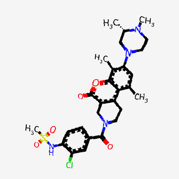 Cc1c(N2CCN(C)[C@@H](C)C2)cc(C)c2c3c(c(=O)oc12)CN(C(=O)c1ccc(NS(C)(=O)=O)c(Cl)c1)CC3